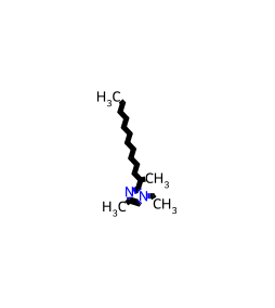 CCCCCCCCCCCC(C)c1nc(C)cn1CC